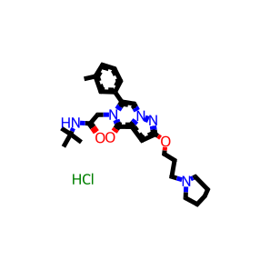 Cc1cccc(-c2cn3nc(OCCCN4CCCCC4)cc3c(=O)n2CC(=O)NC(C)(C)C)c1.Cl